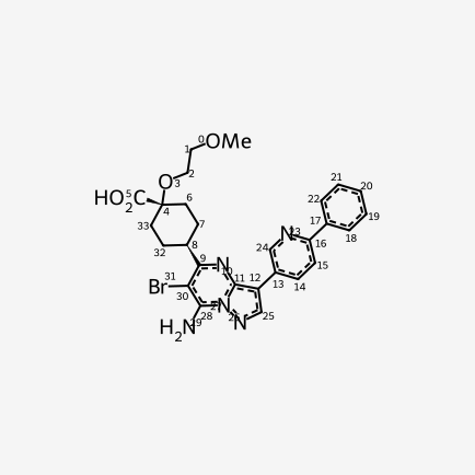 COCCO[C@]1(C(=O)O)CC[C@@H](c2nc3c(-c4ccc(-c5ccccc5)nc4)cnn3c(N)c2Br)CC1